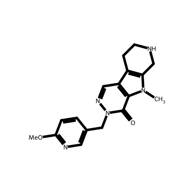 COc1ccc(Cn2ncc3c4c(n(C)c3c2=O)CNCC4)cn1